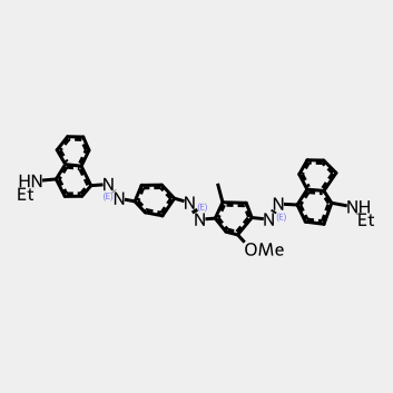 CCNc1ccc(/N=N/c2ccc(/N=N/c3cc(OC)c(/N=N/c4ccc(NCC)c5ccccc45)cc3C)cc2)c2ccccc12